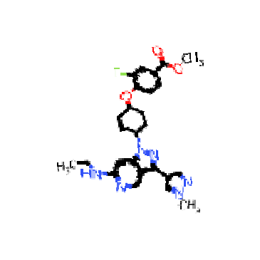 CCNc1cc2c(cn1)c(-c1cnn(C)c1)nn2C1CCC(Oc2ccc(C(=O)OC)cc2F)CC1